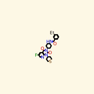 CCc1cccc(C(=O)NC2CCC(n3c(=O)c4cc(F)cnc4n(C4CCSCC4)c3=O)CC2)c1